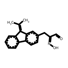 CC(C)=C1c2ccccc2-c2ccc(CC(C=O)=NO)cc21